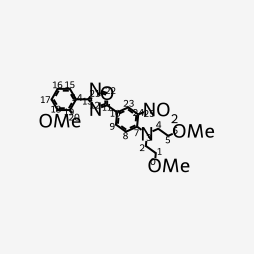 COCCN(CCOC)c1ccc(-c2nc(-c3ccccc3OC)no2)cc1[N+](=O)[O-]